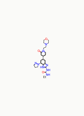 CCNC(=O)Nc1nc2cc(-c3ccn(CCN4CCOCC4)c(=O)c3)cc(N3CCC=N3)c2[nH]1